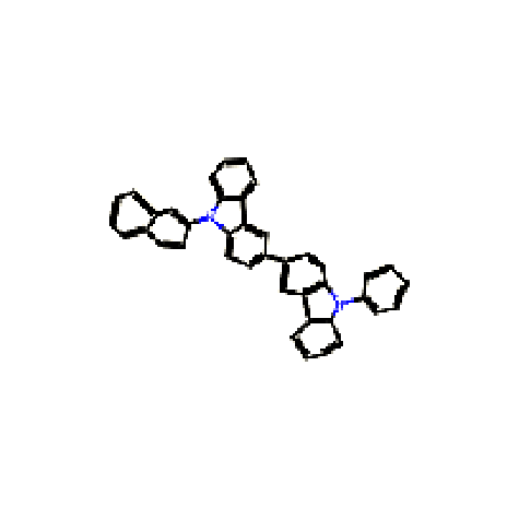 C1=CC2c3cc(-c4ccc5c(c4)c4ccccc4n5-c4ccc5ccccc5c4)ccc3N(c3ccccc3)C2C=C1